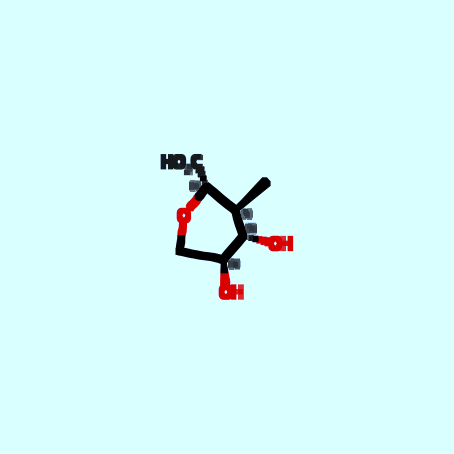 C[C@H]1[C@H](O)[C@@H](O)CO[C@@H]1C(=O)O